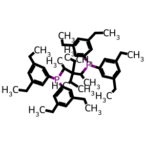 CCc1cc(CC)cc(P(c2cc(CC)cc(CC)c2)C(C)C(C(C)C)(C(C)C)C(C)P(c2cc(CC)cc(CC)c2)c2cc(CC)cc(CC)c2)c1